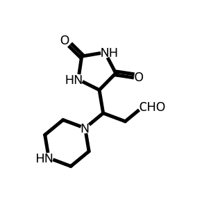 O=CCC(C1NC(=O)NC1=O)N1CCNCC1